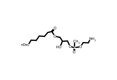 CCCCCCCCCCCCCCCC(=O)OCC(O)COP(C)(=O)OCCN